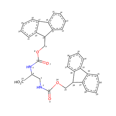 O=C(NCC(NC(=O)OCC1c2ccccc2-c2ccccc21)C(=O)O)OCC1c2ccccc2-c2ccccc21